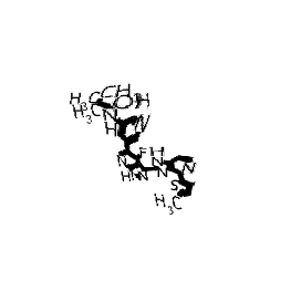 Cc1ccc(-c2nccc3[nH]c(-c4n[nH]c5ncc(-c6cncc(NC(O)C(C)(C)C)c6)c(F)c45)nc23)s1